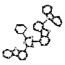 C1=CCC(c2nc(-c3cccc4c3oc3ccccc34)nc(-c3cccc4oc5c(-n6c7ccccc7c7ccccc76)cccc5c34)n2)C=C1